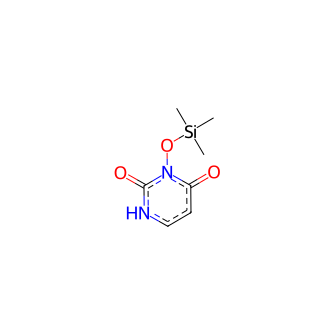 C[Si](C)(C)On1c(=O)cc[nH]c1=O